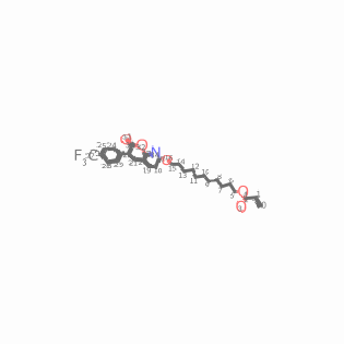 C=CC(=O)OCCCCCCCCCCCOc1ccc2cc(-c3ccc(C(F)(F)F)cc3)c(=O)oc2n1